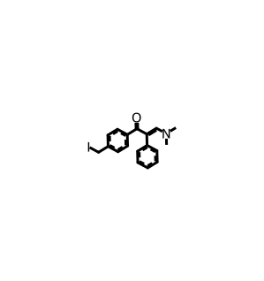 CN(C)/C=C(/C(=O)c1ccc(CI)cc1)c1ccccc1